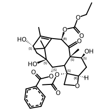 CCOC(=O)O[C@H]1C(=O)[C@@]2(C)C([C@H](OC(=O)c3ccccc3)[C@]3(O)C[C@H](O)C(C)=C1C3(C)C)[C@]1(OC(C)=O)CO[C@@H]1C[C@@H]2O